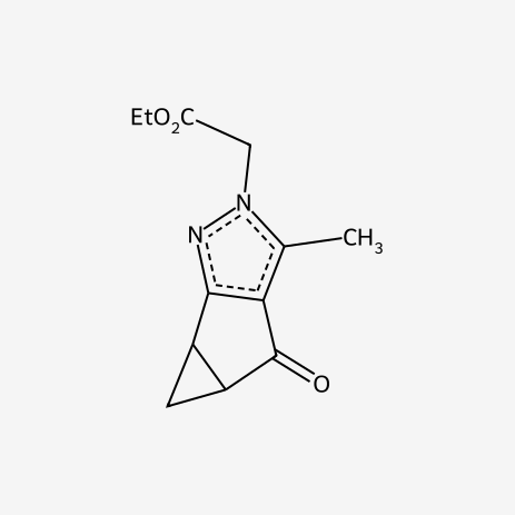 CCOC(=O)Cn1nc2c(c1C)C(=O)C1CC21